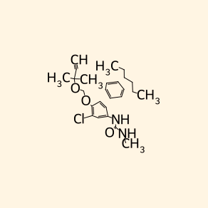 C#CC(C)(C)OCOc1ccc(NC(=O)NC)cc1Cl.CCCCCC.c1ccccc1